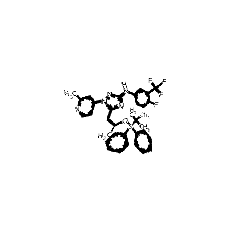 Cc1cc(-n2nc(Nc3ccc(F)c(C(F)(F)F)c3)nc2C[C@H](C)O[Si](c2ccccc2)(c2ccccc2)C(C)(C)C)ccn1